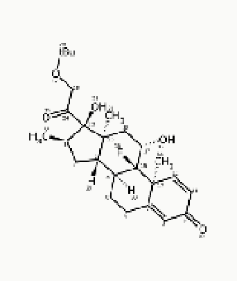 C[C@@H]1C[C@H]2[C@@H]3CCC4=CC(=O)C=C[C@]4(C)[C@@]3(F)[C@@H](O)C[C@]2(C)[C@@]1(O)C(=O)COC(C)(C)C